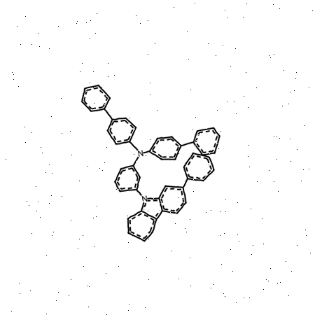 c1ccc(-c2ccc(N(c3ccc(-c4ccccc4)cc3)c3cccc(-n4c5ccccc5c5ccc(-c6ccccc6)cc54)c3)cc2)cc1